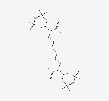 CC(=O)N(CCCCCCN(C(C)=O)C1CC(C)(C)NC(C)(C)C1)C1CC(C)(C)NC(C)(C)C1